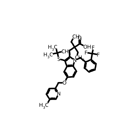 CCC(CC)(Cc1c(SC(C)(C)C)c2cc(OCc3ccc(C)cn3)ccc2n1Cc1ccccc1C(F)(F)F)C(=O)O